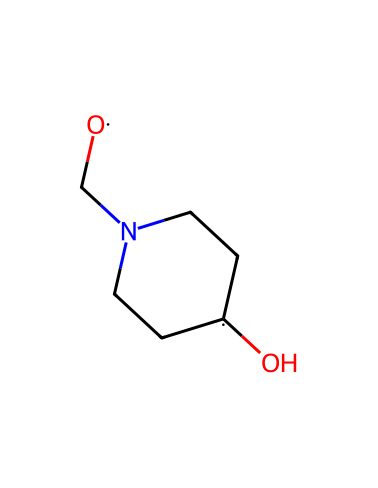 [O]CN1CC[C](O)CC1